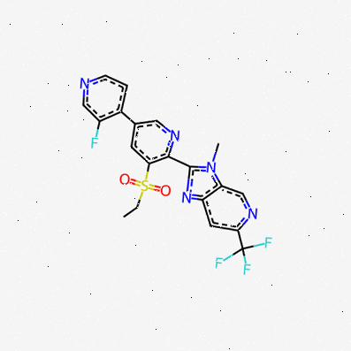 CCS(=O)(=O)c1cc(-c2ccncc2F)cnc1-c1nc2cc(C(F)(F)F)ncc2n1C